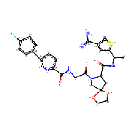 C[C@@H](NC(=O)C1CC2(CN1C(=O)CNC(=O)c1ccc(-c3ccc(F)cc3)cn1)OCCO2)c1cc(C(=N)N)cs1